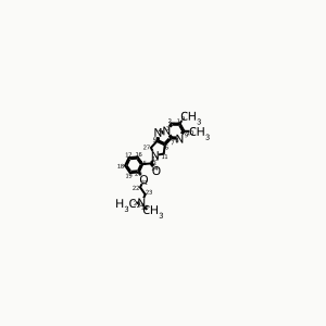 Cc1cn2nc3c(c2nc1C)CN(C(=O)c1ccccc1OCCN(C)C)C3